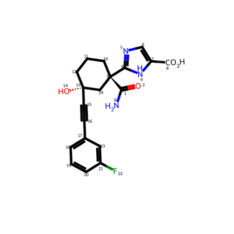 NC(=O)[C@]1(c2ncc(C(=O)O)[nH]2)CCC[C@](O)(C#Cc2cccc(F)c2)C1